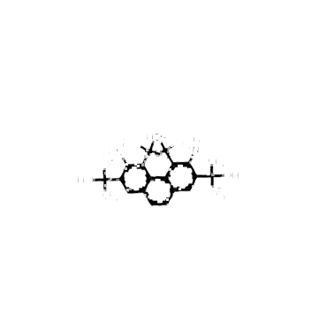 Nc1c(C(O)(C(F)(F)F)C(F)(F)F)cc2ccc3cc(C(O)(C(F)(F)F)C(F)(F)F)c(N)c(C(O)(C(F)(F)F)C(F)(F)F)c3c2c1C(O)(C(F)(F)F)C(F)(F)F